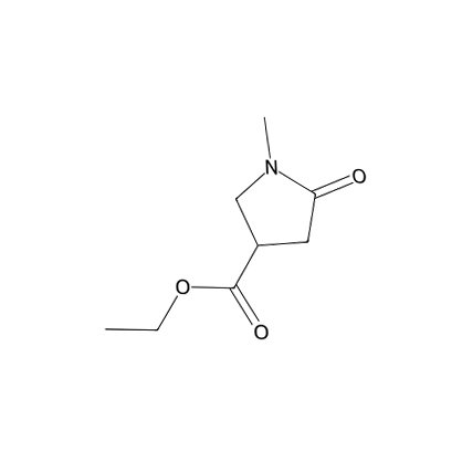 CCOC(=O)C1CC(=O)N(C)C1